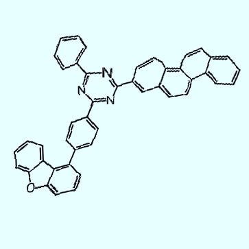 c1ccc(-c2nc(-c3ccc(-c4cccc5oc6ccccc6c45)cc3)nc(-c3ccc4c(ccc5c6ccccc6ccc45)c3)n2)cc1